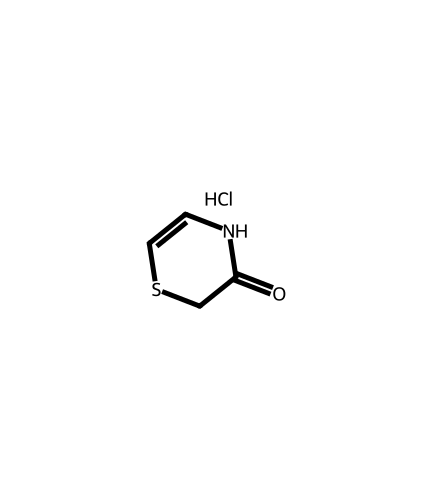 Cl.O=C1CSC=CN1